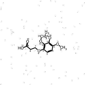 COc1ccc(OCCC(=O)O)c(OC)c1OC